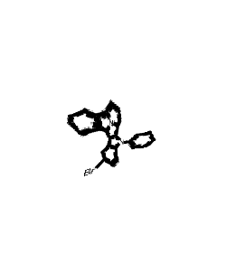 Brc1ccc2c(c1)c1c(c3cccc4c5ccccc5c1n43)n2-c1ccccc1